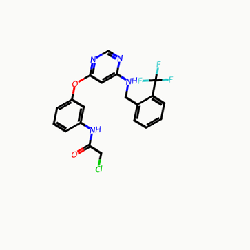 O=C(CCl)Nc1cccc(Oc2cc(NCc3ccccc3C(F)(F)F)ncn2)c1